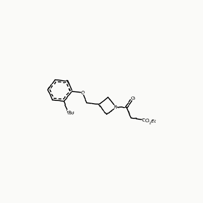 CCOC(=O)CC(=O)N1CC(COc2ccccc2C(C)(C)C)C1